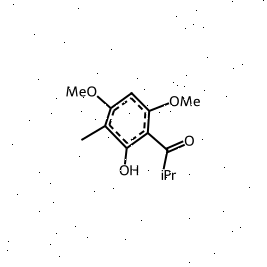 COc1cc(OC)c(C(=O)C(C)C)c(O)c1C